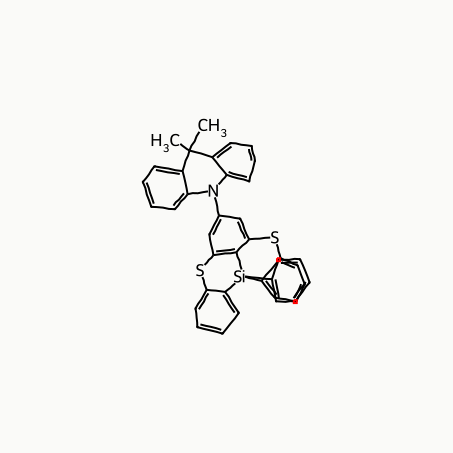 CC1(C)c2ccccc2N(c2cc3c4c(c2)Sc2ccccc2[Si]4(c2ccccc2)c2ccccc2S3)c2ccccc21